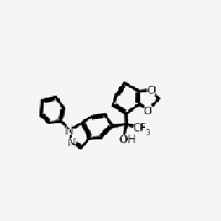 OC(c1ccc2c(cnn2-c2ccccc2)c1)(c1cccc2c1OCO2)C(F)(F)F